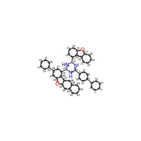 c1ccc(-c2ccc(C3=NC(c4cccc5oc6ccccc6c45)NC(c4cc(-c5ccccc5)cc5oc6cc7ccccc7cc6c45)N3)cc2)cc1